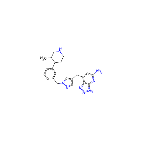 CC1CNCCC1c1cccc(Cn2cc(Cc3cc(N)nc4[nH]nnc34)cn2)c1